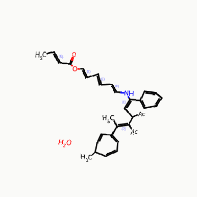 C/C=C/C(=O)O/C=C/C=C/C=C/N/C(=C/C(C(C)=O)/C(C(C)=O)=C(\C)C1=CC=CC(C)C=C1)c1ccccc1.O